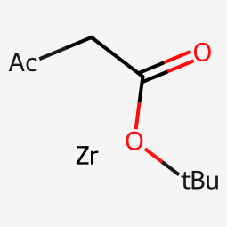 CC(=O)CC(=O)OC(C)(C)C.[Zr]